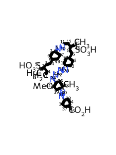 C=C/C(C=Cc1ccc(N=N/C=C\C(C=Cc2ccc(N=NCN=Nc3cc(C)c(N=Nc4ccc(C(=O)O)cc4)cc3OC)cc2)=C(/C)S(=O)(=O)O)cc1)=C(\C)S(=O)(=O)O